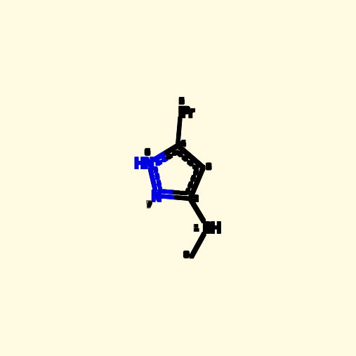 CBc1cc(C(C)C)[nH]n1